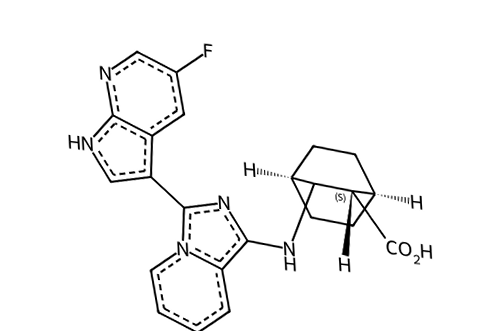 O=C(O)[C@@H]1C(Nc2nc(-c3c[nH]c4ncc(F)cc34)n3ccccc23)[C@H]2CC[C@@H]1CC2